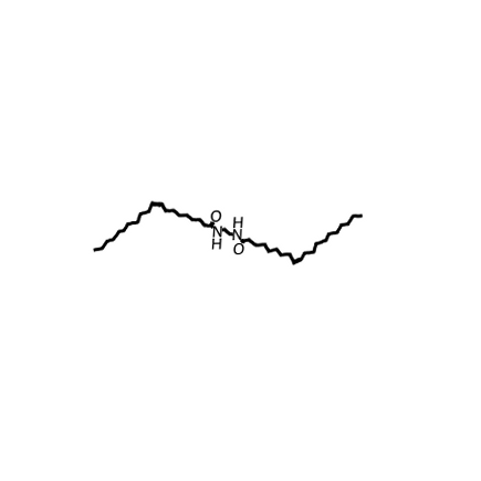 CCCCCCCCCC/C=C\CCCCCCCC(=O)NCCNC(=O)CCCCCCC/C=C\CCCCCCCCCC